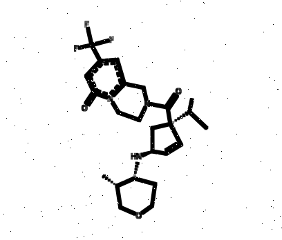 CC(C)[C@]1(C(=O)N2CCn3c(cc(C(F)(F)F)cc3=O)C2)C=C[C@@H](N[C@@H]2CCOC[C@@H]2C)C1